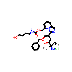 CC(C)(NCl)C(=O)CC(COCc1ccccc1)c1ncc2cccc(COC(=O)NCCCCO)n12